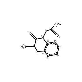 COC(=O)CN1C(=O)C(N)Cc2ncccc21